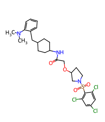 CN(C)c1ccccc1CC1CCC(NC(=O)COC2CCN(S(=O)(=O)c3c(Cl)cc(Cl)cc3Cl)C2)CC1